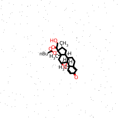 CCCCC(=O)O[C@]1(C(=O)CO)[C@H](C)C[C@H]2[C@@H]3CCC4=CC(=O)C=C[C@]4(C)[C@@]34O[C@H]4C[C@@]21C